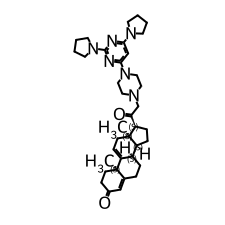 C[C@]12CCC(=O)C=C1CC[C@@H]1C2=CC[C@]2(C)[C@@H](C(=O)CN3CCN(c4cc(N5CCCC5)nc(N5CCCC5)n4)CC3)CC[C@@H]12